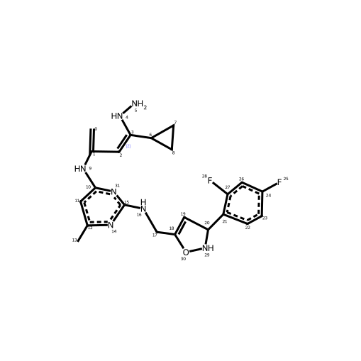 C=C(/C=C(\NN)C1CC1)Nc1cc(C)nc(NCC2=CC(c3ccc(F)cc3F)NO2)n1